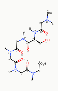 CN(CC(=O)O)C(=O)CN(C)C(=O)CN(C)C(=O)CN(C)C(=O)[C@H](CO)N(C)C(=O)CN(C)C(C)(C)C